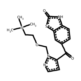 C[Si](C)(C)CCOCn1nccc1C(=O)c1ccc2[nH]c(=O)sc2c1